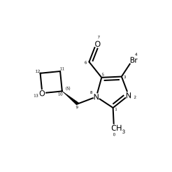 Cc1nc(Br)c(C=O)n1C[C@@H]1CCO1